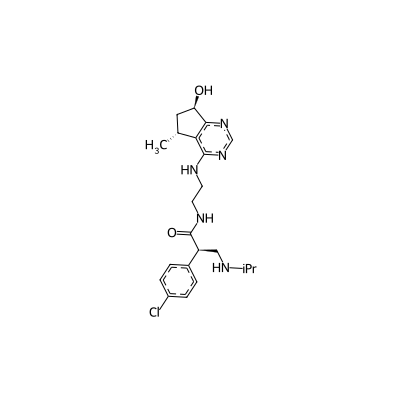 CC(C)NC[C@H](C(=O)NCCNc1ncnc2c1[C@H](C)C[C@H]2O)c1ccc(Cl)cc1